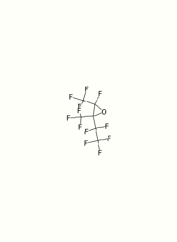 FC(F)(F)C(F)(F)C1(C(F)(F)F)OC1(F)C(F)(F)F